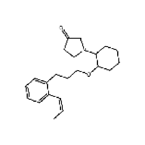 C/C=C\c1ccccc1CCCOC1CCCCC1N1CCC(=O)C1